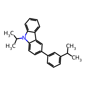 CC(C)c1cccc(-c2ccc3c(c2)c2ccccc2n3C(C)C)c1